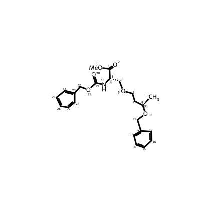 COC(=O)[C@H](COCC[C@@H](C)OCc1ccccc1)NC(=O)OCc1ccccc1